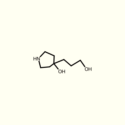 OCCCC1(O)CCNCC1